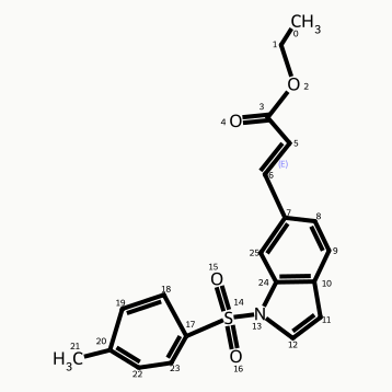 CCOC(=O)/C=C/c1ccc2ccn(S(=O)(=O)c3ccc(C)cc3)c2c1